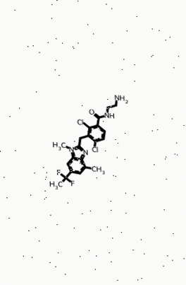 Cc1cc(C(C)(F)F)cc2c1nc(Cc1c(Cl)ccc(C(=O)NCCN)c1Cl)n2C